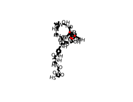 CCC(C)C1NC(=O)CNC(=O)C2Cc3c([nH]c4ccccc34)SCC(NC(=O)CNC1=O)C(=O)NC(CC(=O)NCc1ccc(NC(=O)[C@H](C)NC(=O)CNC(=O)CCN3C(=O)CC(S)C3=O)cc1)C(=O)N1CC(O)C1CC(C(C)C(O)CO)C(=O)N2